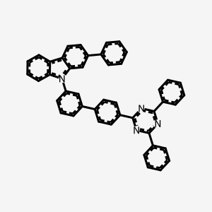 c1ccc(-c2ccc3c4ccccc4n(-c4cccc(-c5ccc(-c6nc(-c7ccccc7)nc(-c7ccccc7)n6)cc5)c4)c3c2)cc1